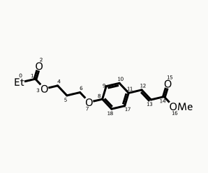 CCC(=O)OCCCOc1ccc(/C=C/C(=O)OC)cc1